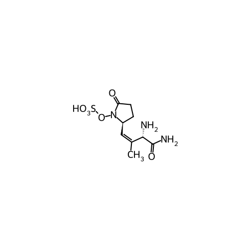 C/C(=C/[C@@H]1CCC(=O)N1OS(=O)(=O)O)[C@H](N)C(N)=O